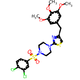 COc1cc(Cc2csc(N3CCN(S(=O)(=O)c4ccc(Cl)c(Cl)c4)CC3)n2)cc(OC)c1OC